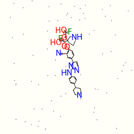 CN1CCC(c2ccc(Nc3nccc(-c4ccc(OC5CCNCC5(C(=O)[C@@H](O)F)C(=O)[C@@H](O)F)c(C#N)c4)n3)cc2)CC1